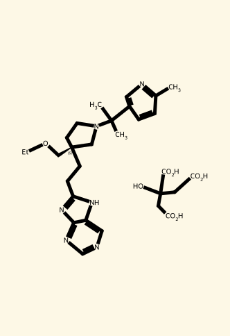 CCOC[C@@]1(CCc2nc3ncncc3[nH]2)CCN(C(C)(C)c2ccc(C)nc2)C1.O=C(O)CC(O)(CC(=O)O)C(=O)O